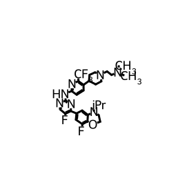 CC(C)N1CCOc2c(F)cc(-c3nc(Nc4ccc(C5CCN(CCN(C)C)CC5)c(C(F)(F)F)n4)ncc3F)cc21